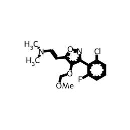 COCOc1c(-c2c(F)cccc2Cl)noc1/C=C/N(C)C